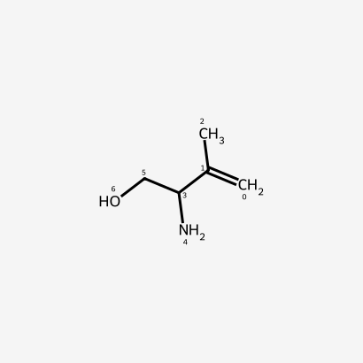 C=C(C)C(N)CO